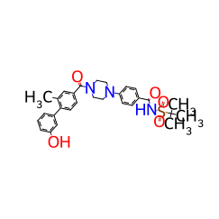 Cc1cc(C(=O)N2CCN(c3ccc(C(=O)NS(=O)(=O)C(C)(C)C)cc3)CC2)ccc1-c1cccc(O)c1